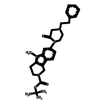 Cn1c2c(c3ccc(N4CCN(CCc5ccccc5)CC4=O)cc31)CN(C(=O)OC(C)(C)C)CC2